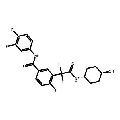 O=C(Nc1ccc(F)c(F)c1)c1ccc(F)c(C(F)(F)C(=O)N[C@H]2CC[C@H](O)CC2)c1